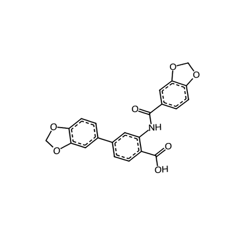 O=C(Nc1cc(-c2ccc3c(c2)OCO3)ccc1C(=O)O)c1ccc2c(c1)OCO2